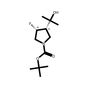 CC(C)(C)OC(=O)N1C[C@@H](C(C)(C)O)[C@@H](F)C1